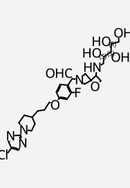 O=CC(c1ccc(OCCCC2CCN(c3ncc(Cl)cn3)CC2)cc1F)N1CC2(C1)OCC2NC[C@H](O)[C@H](O)[C@H](O)CO